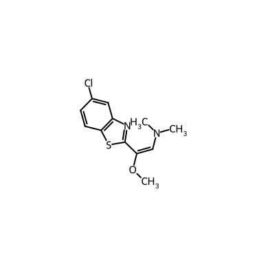 CO/C(=C/N(C)C)c1nc2cc(Cl)ccc2s1